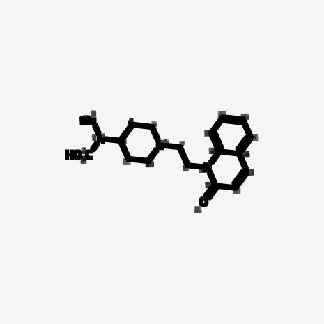 CC(C)(C)N(C(=O)O)C1CCN(CCn2c(=O)ccc3ccccc32)CC1